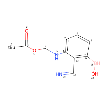 CC(C)(C)C(=O)OCNc1cccc(BO)c1C=N